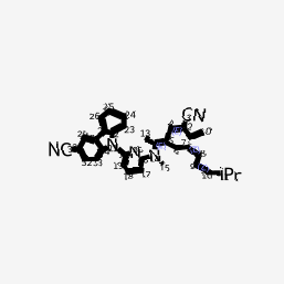 C=C/C(C#N)=C\C(C/C=C\C=C/C(C)C)=C(/C)N(C)c1cccc(-n2c3ccccc3c3cc(C#N)ccc32)n1